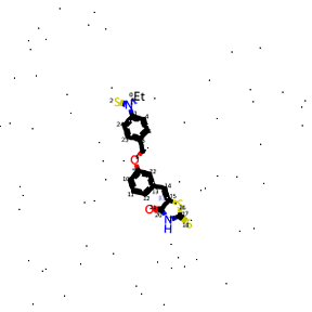 CC[N+](=S)c1ccc(COc2cccc(/C=C3/SC(=S)NC3=O)c2)cc1